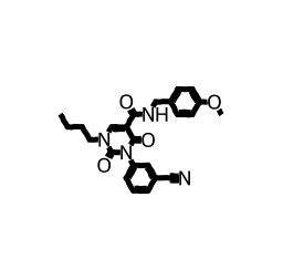 CCCCn1cc(C(=O)NCc2ccc(OC)cc2)c(=O)n(-c2cccc(C#N)c2)c1=O